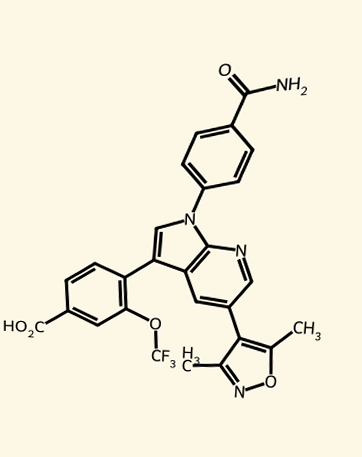 Cc1noc(C)c1-c1cnc2c(c1)c(-c1ccc(C(=O)O)cc1OC(F)(F)F)cn2-c1ccc(C(N)=O)cc1